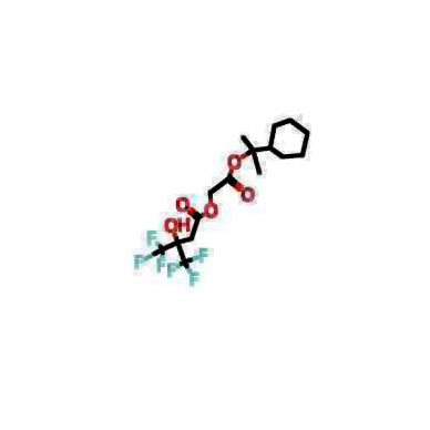 CC(C)(OC(=O)COC(=O)CC(O)(C(F)(F)F)C(F)(F)F)C1CCCCC1